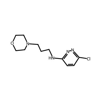 Clc1ccc(NCCCN2CCOCC2)nn1